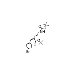 CC(C)(C)OC(=O)NCCCN(Cc1ccc(Br)cc1)C(=O)OC(C)(C)C